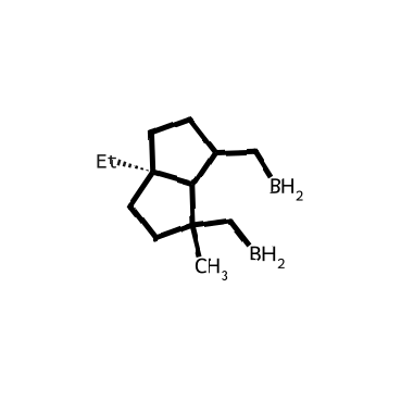 BCC1CC[C@]2(CC)CCC(C)(CB)C12